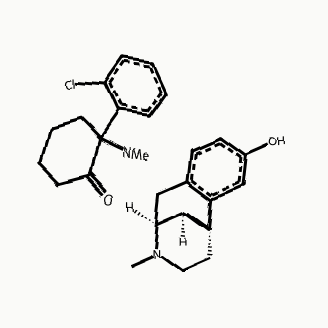 CN1CC[C@@]23CCCC[C@@H]2[C@@H]1Cc1ccc(O)cc13.CNC1(c2ccccc2Cl)CCCCC1=O